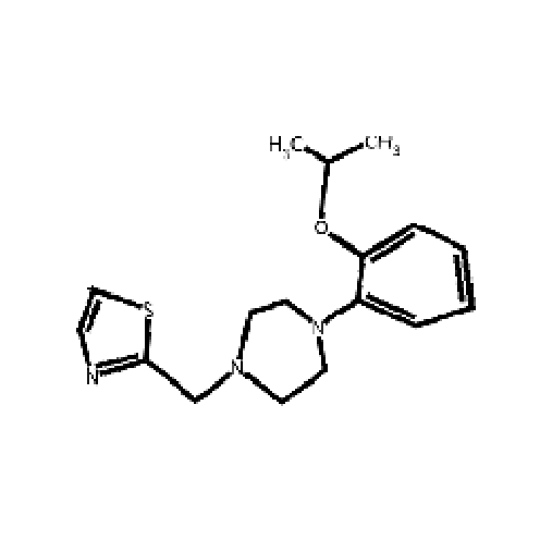 CC(C)Oc1ccccc1N1CCN(Cc2nc[c]s2)CC1